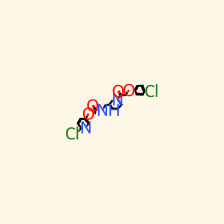 O=C(COc1ccc(Cl)nc1)NCC1CCCN(C(=O)COc2ccc(Cl)cc2)C1